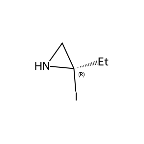 CC[C@@]1(I)CN1